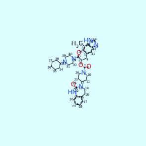 Cc1cc(C[C@@H](OC(=O)N2CCC(N3CCc4ccccc4NC3=O)CC2)C(=O)N2CCN(C3CCCCC3)CC2)cc2nc[nH]c12